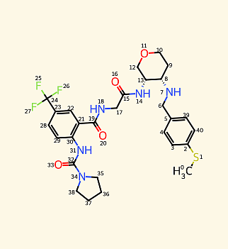 CSc1ccc(CN[C@H]2CCOC[C@H]2NC(=O)CNC(=O)c2cc(C(F)(F)F)ccc2NC(=O)N2CCCC2)cc1